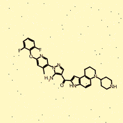 Cc1cc(Oc2c(F)cccc2F)ncc1-n1ncc(C(=O)c2cc3c4c(ccc3[nH]2)N(C2CCNCC2)CCC4)c1N